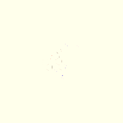 COc1cc(Nc2c(C#N)cnc3cc(-c4coc(CN5CCC(N6CCCC6)CC5)c4)c(OC)cc23)c(Cl)cc1Cl